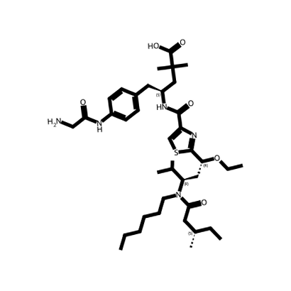 CCCCCCN(C(=O)C[C@@H](C)CC)[C@H](C[C@@H](OCC)c1nc(C(=O)N[C@@H](Cc2ccc(NC(=O)CN)cc2)CC(C)(C)C(=O)O)cs1)C(C)C